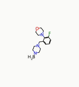 BN1CCN(Cc2cccc(F)c2N2CCOCC2)CC1